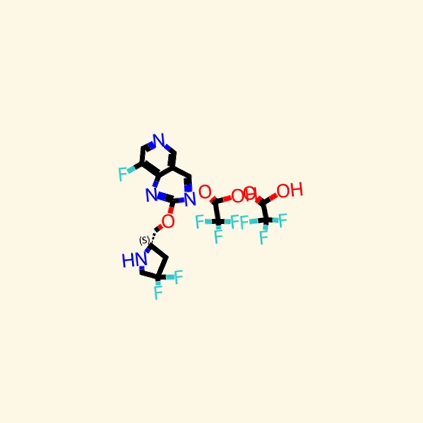 Fc1cncc2cnc(OC[C@@H]3CC(F)(F)CN3)nc12.O=C(O)C(F)(F)F.O=C(O)C(F)(F)F